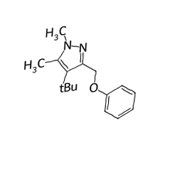 Cc1c(C(C)(C)C)c(COc2ccccc2)nn1C